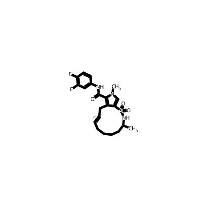 CC1CCCC/C=C/Cc2c(cn(C)c2C(=O)Nc2ccc(F)c(F)c2)S(=O)(=O)N1